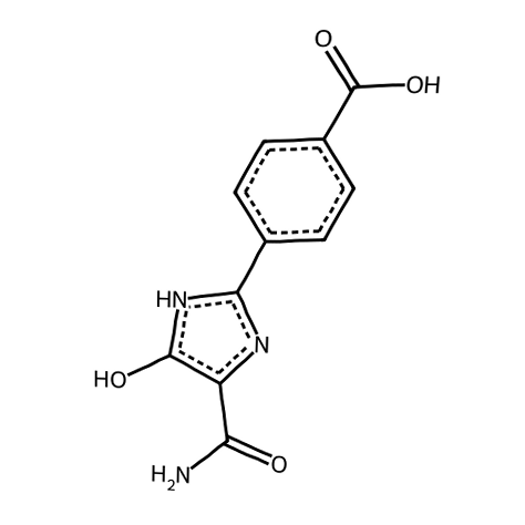 NC(=O)c1nc(-c2ccc(C(=O)O)cc2)[nH]c1O